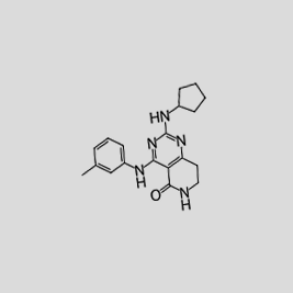 Cc1cccc(Nc2nc(NC3CCCC3)nc3c2C(=O)NCC3)c1